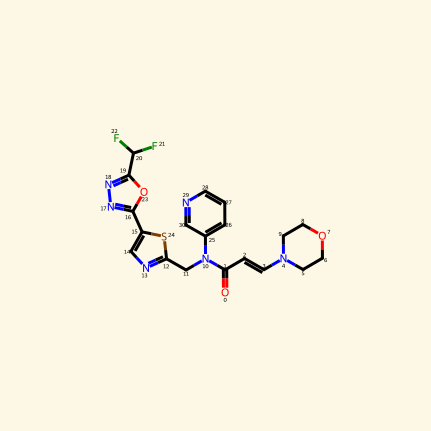 O=C(C=CN1CCOCC1)N(Cc1ncc(-c2nnc(C(F)F)o2)s1)c1cccnc1